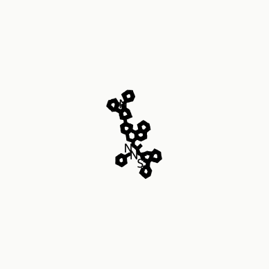 CC1C(c2cc3ccccc3c3c2sc2ccccc23)=NC(c2ccccc2)=NC1C1Cc2ccc(-c3ccc4c(c3)c3ccccc3n4-c3ccccc3)cc2-c2c1ccc1ccccc21